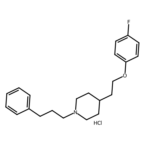 Cl.Fc1ccc(OCCC2CCN(CCCc3ccccc3)CC2)cc1